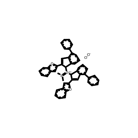 C[Si](C)=[Zr+2]([CH]1C(c2cc3ccccc3o2)=Cc2c(-c3ccccc3)cccc21)[CH]1C(c2cc3ccccc3o2)=Cc2c(-c3ccccc3)cccc21.[Cl-].[Cl-]